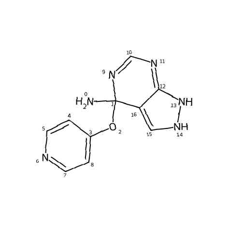 NC1(Oc2ccncc2)N=CN=C2NNC=C21